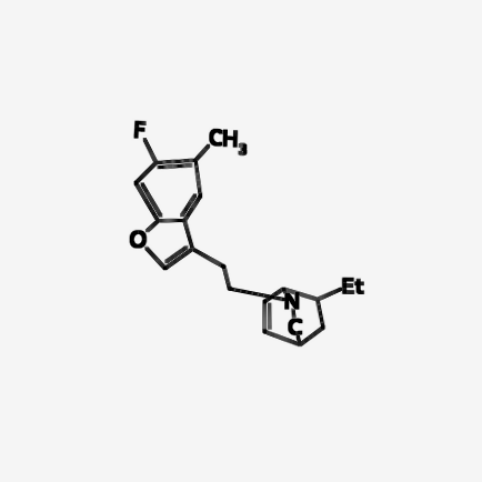 CCC1CC2C=CC1N(CCc1coc3cc(F)c(C)cc13)C2